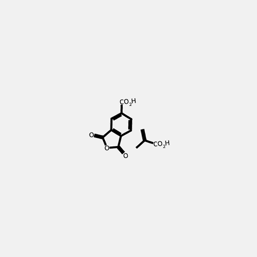 C=C(C)C(=O)O.O=C(O)c1ccc2c(c1)C(=O)OC2=O